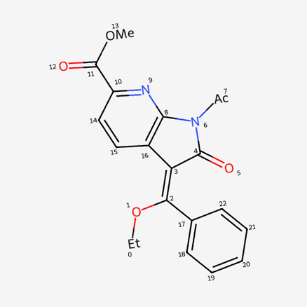 CCOC(=C1C(=O)N(C(C)=O)c2nc(C(=O)OC)ccc21)c1ccccc1